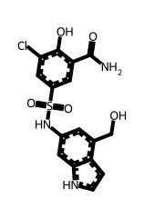 NC(=O)c1cc(S(=O)(=O)Nc2cc(CO)c3cc[nH]c3c2)cc(Cl)c1O